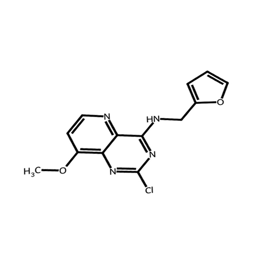 COc1ccnc2c(NCc3ccco3)nc(Cl)nc12